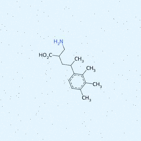 Cc1ccc(C(C)CC(CN)C(=O)O)c(C)c1C